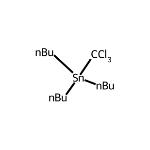 CCC[CH2][Sn]([CH2]CCC)([CH2]CCC)[C](Cl)(Cl)Cl